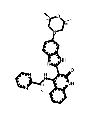 C[C@@H]1CN(c2ccc3nc(-c4c(N[C@H](C)c5ncccn5)c5ccccc5[nH]c4=O)[nH]c3c2)C[C@@H](C)O1